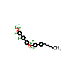 CCCCCCCc1ccc(-c2cc(F)c(C(F)(F)Oc3ccc(-c4ccc(-c5ccc(OC(F)(F)F)c(F)c5)c(F)c4)cc3)c(F)c2)cc1